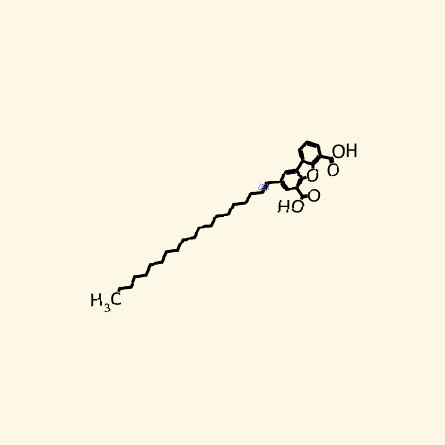 CCCCCCCCCCCCCCCCCC/C=C/c1cc(C(=O)O)c2oc3c(C(=O)O)cccc3c2c1